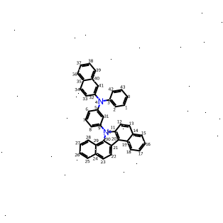 c1ccc(N(c2cccc(-n3c4ccc5ccccc5c4c4ccc5ccccc5c43)c2)c2ccc3ccccc3c2)cc1